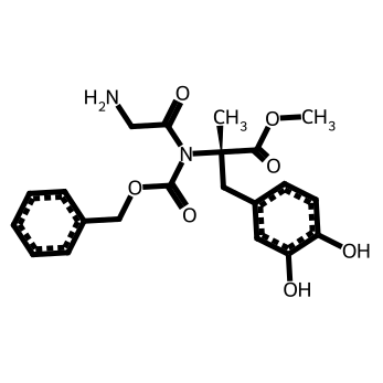 COC(=O)[C@](C)(Cc1ccc(O)c(O)c1)N(C(=O)CN)C(=O)OCc1ccccc1